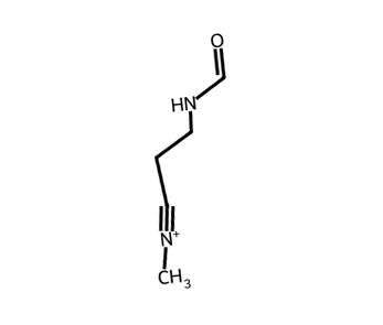 C[N+]#CCCNC=O